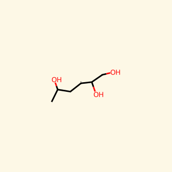 CC(O)C[CH]C(O)CO